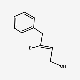 OC/C=C(\Br)Cc1ccccc1